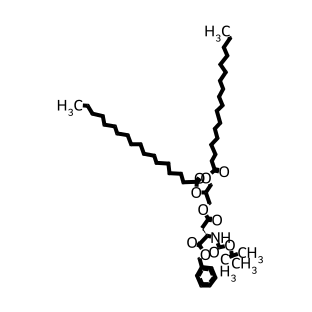 CCCCCCCCCCCCCCCCCC(=O)OCC(COC(=O)C[C@H](NC(=O)OC(C)(C)C)C(=O)OCc1ccccc1)OC(=O)CCCCCCCCCCCCCCCCC